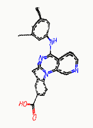 Cc1cc(C)cc(Nc2nc3cc4cc(C(=O)O)ccc4n3c3cnccc23)c1